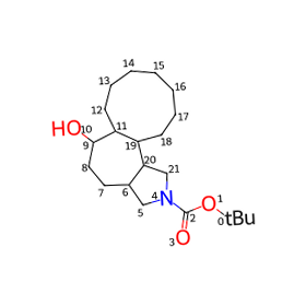 CC(C)(C)OC(=O)N1CC2CCC(O)C3CCCCCCCC3C2C1